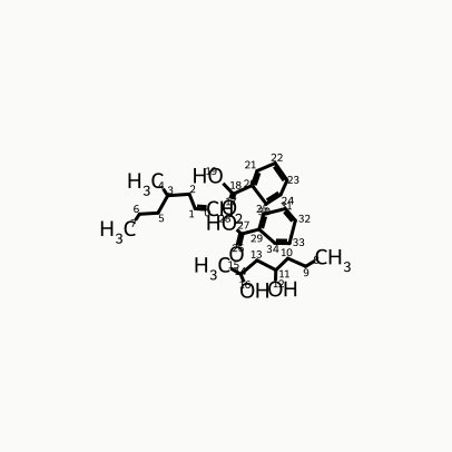 C=CCC(C)CCC.CCCC(O)CC(C)O.O=C(O)c1ccccc1.O=C(O)c1ccccc1